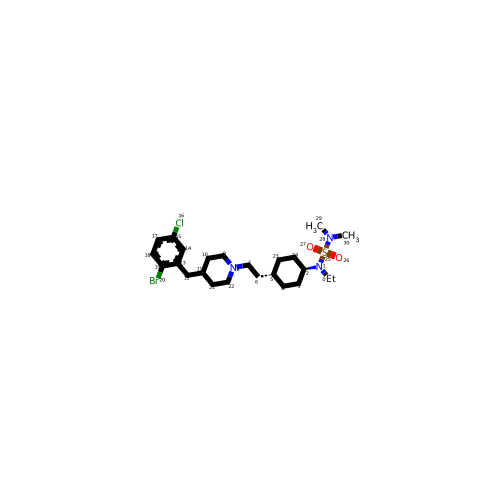 CCN([C@H]1CC[C@H](CCN2CCC(Cc3cc(Cl)ccc3Br)CC2)CC1)S(=O)(=O)N(C)C